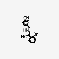 N#Cc1ccc(CNCC(O)c2ccccc2Br)s1